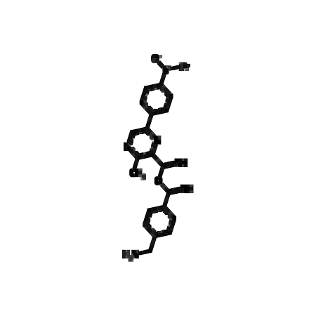 Cc1ncc(-c2ccc([S+]([O-])C(C)C)cc2)nc1C(=N)OC(=N)c1ccc(CN)cc1